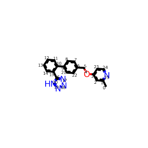 Cc1cc(OCc2ccc(-c3ccccc3-c3nnn[nH]3)cc2)ccn1